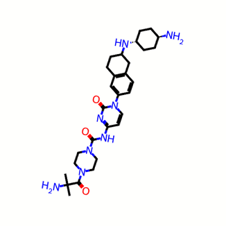 CC(C)(N)C(=O)N1CCN(C(=O)Nc2ccn(-c3ccc4c(c3)CCC(N[C@H]3CC[C@H](N)CC3)C4)c(=O)n2)CC1